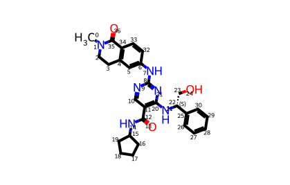 CN1CCc2cc(Nc3ncc(C(=O)NC4CCCC4)c(N[C@H](CO)c4ccccc4)n3)ccc2C1=O